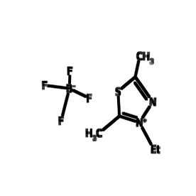 CC[n+]1nc(C)sc1C.F[B-](F)(F)F